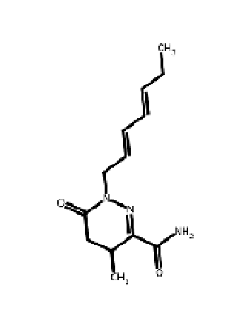 CCC=CC=CCN1N=C(C(N)=O)C(C)CC1=O